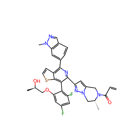 C=CC(=O)N1Cc2cc(-c3nc(-c4ccc5cnn(C)c5c4)c4ccsc4c3-c3c(F)cc(F)cc3OC[C@@H](C)O)nn2C[C@H]1C